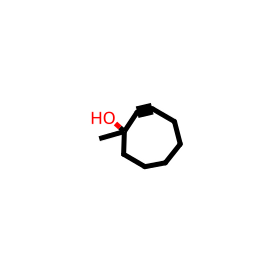 CC1(O)C#CCCCCC1